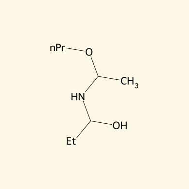 CCCOC(C)NC(O)CC